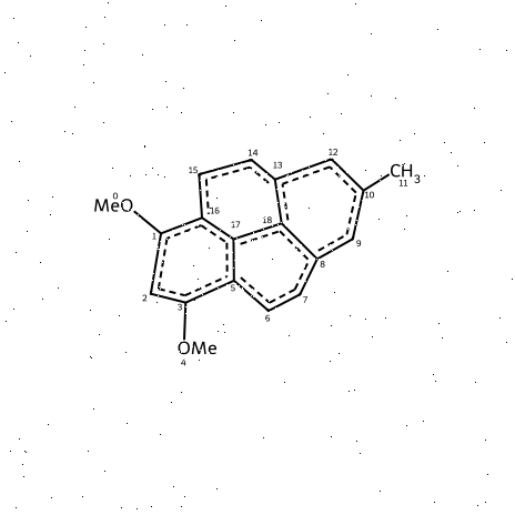 COc1cc(OC)c2ccc3cc(C)cc4ccc1c2c43